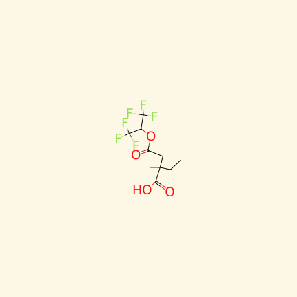 CCC(C)(CC(=O)OC(C(F)(F)F)C(F)(F)F)C(=O)O